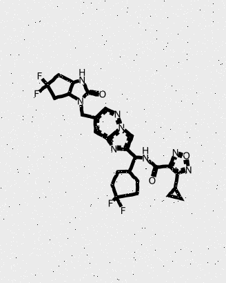 O=C(NC(c1cn2ncc(CN3C(=O)NC4CC(F)(F)CC43)cc2n1)C1CCC(F)(F)CC1)c1nonc1C1CC1